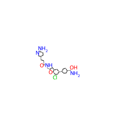 Nc1ccc(/C=C/C(=O)NCc2cc3cc(-c4ccc(C(N)O)cc4)cc(Cl)c3o2)cn1